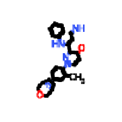 Cc1cc(N2C3CCC2COC3)ccc1-n1ccc(=O)c(/C(=C/C=N)Nc2ccccc2)n1